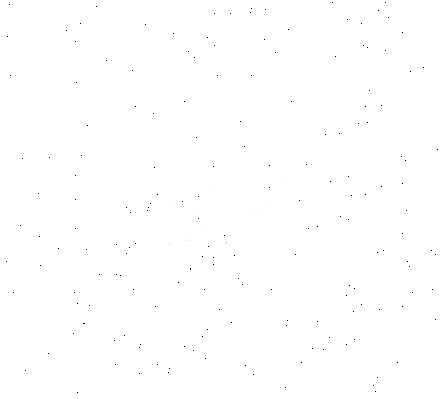 C1=CC2=C(C=Cc3ccccc3C2)CC1